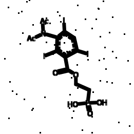 CC(=O)N(C(C)=O)c1c(I)cc(I)c(C(=O)OCCP(=O)(O)O)c1I